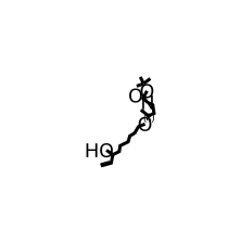 C=CC(O)CCCCCCO[C@@H]1CCN(C(=O)OC(C)(C)C)C1